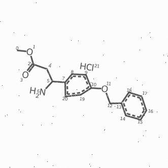 COC(=O)CC(N)c1ccc(OCc2ccccc2)cc1.Cl